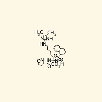 Cc1nc(NCCCCCC(NC(=O)C2=NOCC2)(NS(=O)(=O)c2cccc3ccccc23)C(=O)O)[nH]c1C